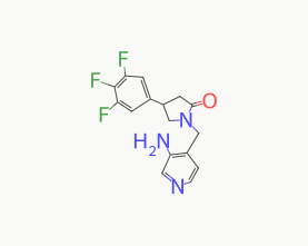 Nc1cnccc1CN1CC(c2cc(F)c(F)c(F)c2)CC1=O